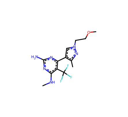 CNc1nc(N)nc(-c2cn(CCOC)nc2C)c1C(F)(F)F